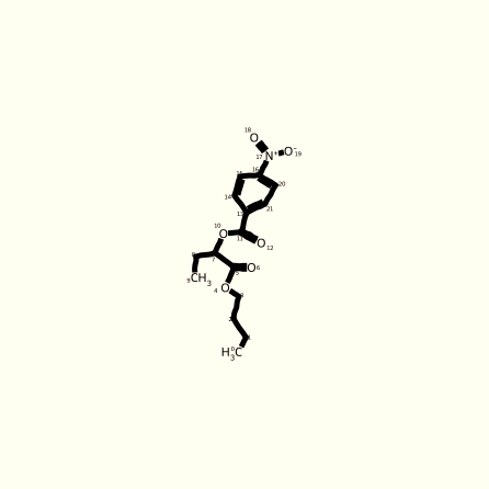 CCCCOC(=O)C(CC)OC(=O)c1ccc([N+](=O)[O-])cc1